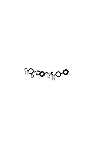 O=C1CCC(N2Cc3ccc(CNC(=O)NC4CCC(c5ccccc5)CC4)cc3C2)C(=O)N1